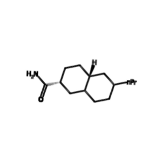 CCCC1CCC2C[C@H](C(N)=O)CC[C@@H]2C1